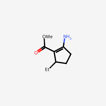 CCC1CCC(N)=C1C(=O)OC